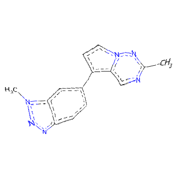 Cc1ncc2c(-c3ccc4nnn(C)c4c3)ccn2n1